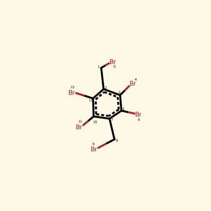 BrCc1c(Br)c(Br)c(CBr)c(Br)c1Br